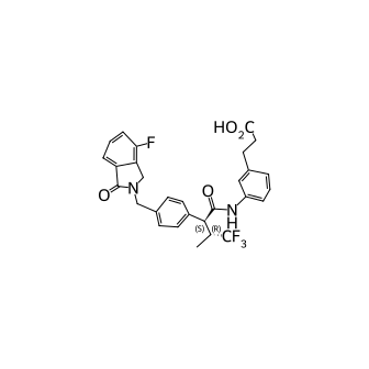 C[C@H]([C@H](C(=O)Nc1cccc(CCC(=O)O)c1)c1ccc(CN2Cc3c(F)cccc3C2=O)cc1)C(F)(F)F